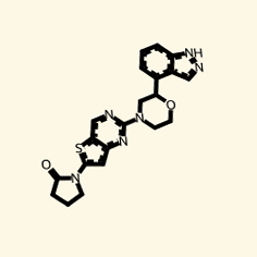 O=C1CCCN1c1cc2nc(N3CCOC(c4cccc5[nH]ncc45)C3)ncc2s1